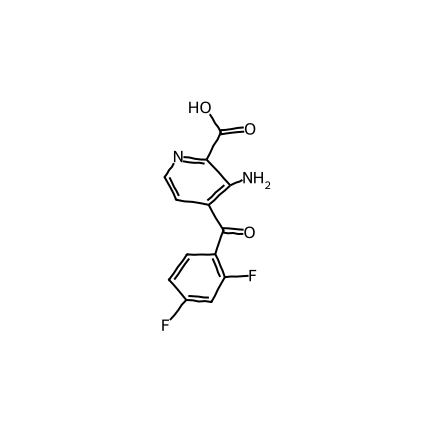 Nc1c(C(=O)c2ccc(F)cc2F)ccnc1C(=O)O